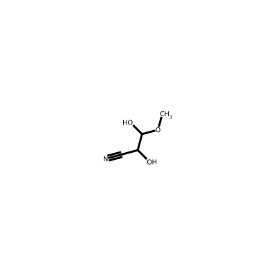 COC(O)C(O)C#N